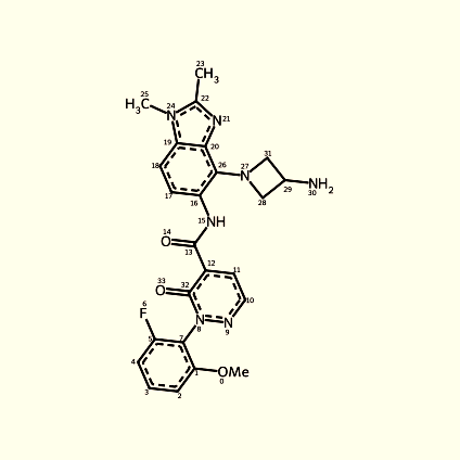 COc1cccc(F)c1-n1nccc(C(=O)Nc2ccc3c(nc(C)n3C)c2N2CC(N)C2)c1=O